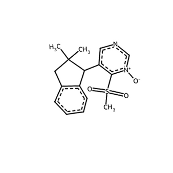 CC1(C)Cc2ccccc2C1c1cnc[n+]([O-])c1S(C)(=O)=O